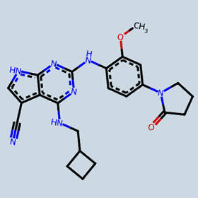 COc1cc(N2CCCC2=O)ccc1Nc1nc(NCC2CCC2)c2c(C#N)c[nH]c2n1